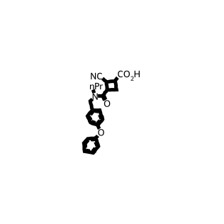 CCCN(Cc1ccc(Oc2ccccc2)cc1)C(=O)C1CC(C(=O)O)C1C#N